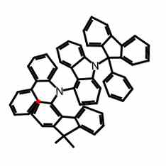 CC1(C)c2ccccc2-c2c(N(c3ccccc3-c3ccccc3)c3cccc4c3c3ccccc3n4C3(c4ccccc4)c4ccccc4-c4ccccc43)cccc21